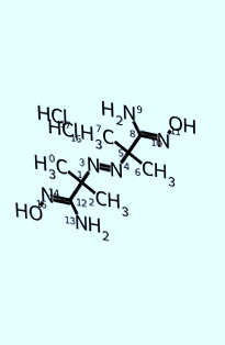 CC(C)(N=NC(C)(C)C(N)=NO)C(N)=NO.Cl.Cl